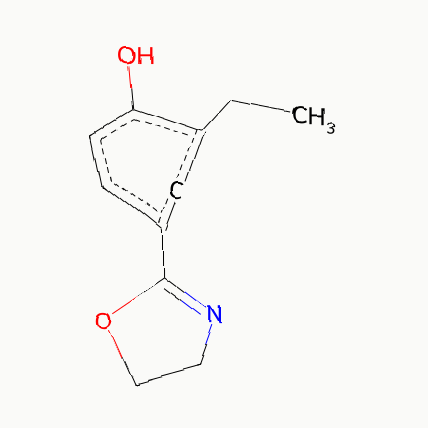 CCc1cc(C2=NCCO2)ccc1O